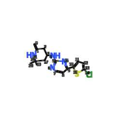 C=C1CC(Nc2nccc(-c3ccc(Cl)s3)n2)CC(C)(C)N1